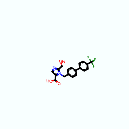 O=C(O)c1cnc(CO)n1Cc1ccc(-c2ccc(C(F)(F)F)cc2)cc1